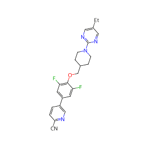 CCc1cnc(N2CCC(COc3c(F)cc(-c4ccc(C#N)nc4)cc3F)CC2)nc1